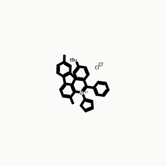 Cc1ccc2c(c1)Cc1c-2ccc(C)[c]1/[Zr+2]([C]1=CC=CC1)=[C](/c1ccccc1)c1ccc(C(C)(C)C)cc1.[Cl-].[Cl-]